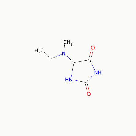 CCN(C)C1NC(=O)NC1=O